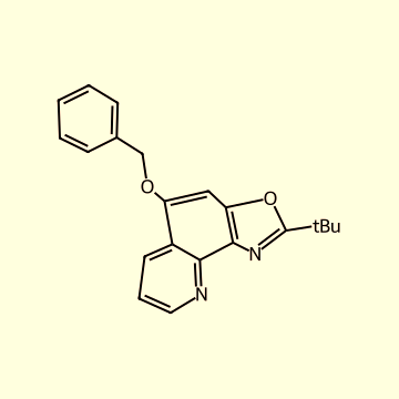 CC(C)(C)c1nc2c(cc(OCc3ccccc3)c3cccnc32)o1